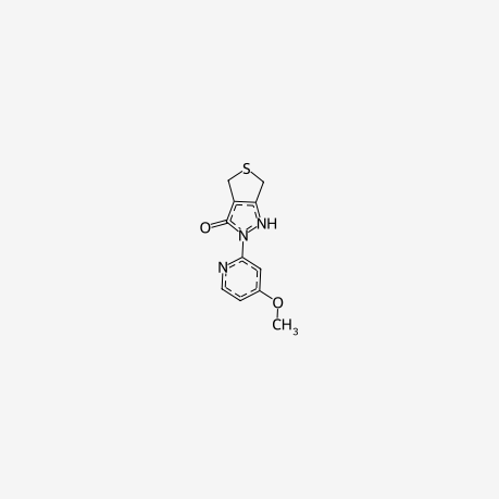 COc1ccnc(-n2[nH]c3c(c2=O)CSC3)c1